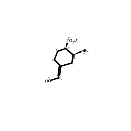 CCCC[C@H]1CC(=NO)CC[C@H]1C(=O)OCC